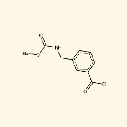 CC(C)(C)OC(=O)NCc1cccc(C(=O)Cl)c1